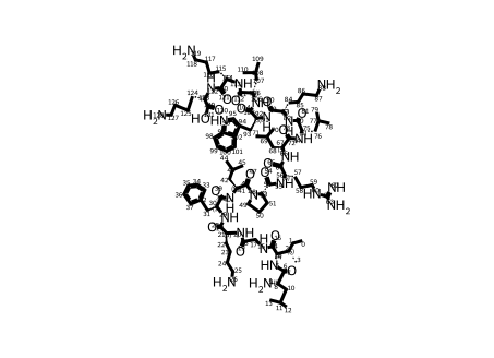 CC[C@H](C)[C@H](NC(=O)[C@@H](N)CC(C)C)C(=O)NCC(=O)N[C@@H](CCCCN)C(=O)N[C@@H](Cc1ccccc1)C(=O)N[C@@H](CC(C)C)C(=O)N1CCC[C@H]1C(=O)N[C@@H](CCCNC(=N)N)C(=O)N[C@@H](CC(C)C)C(=O)N[C@@H](CC(C)C)C(=O)N[C@@H](CCCCN)C(=O)N[C@@H](Cc1c[nH]c2ccccc12)C(=O)N[C@@H](CC(C)C)C(=O)N[C@@H](CCCCN)C(=O)N[C@@H](CCCCN)C(=O)O